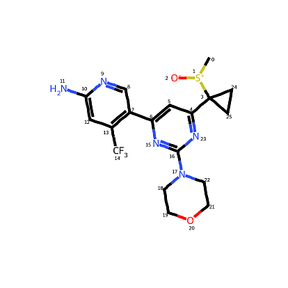 C[S+]([O-])C1(c2cc(-c3cnc(N)cc3C(F)(F)F)nc(N3CCOCC3)n2)CC1